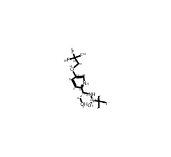 CC(C)(C)[S+]([O-])N[C@H](CO)c1ccc(OCC(F)(F)F)cn1